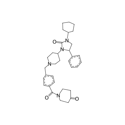 O=C1CCN(C(=O)c2ccc(CN3CCC(N4C(=O)N(C5CCCCC5)CC4c4ccccc4)CC3)cc2)CC1